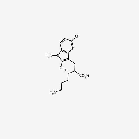 Cc1c(CC(CCCCN)C(=O)O)c2cc(Cl)ccc2n1C